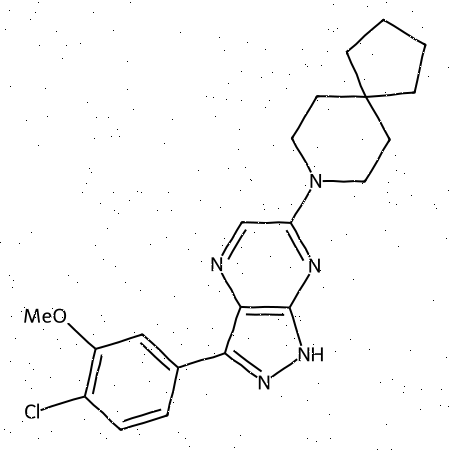 COc1cc(-c2n[nH]c3nc(N4CCC5(CCCC5)CC4)cnc23)ccc1Cl